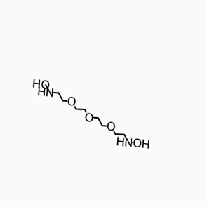 ONCCOCCOCCOCCNO